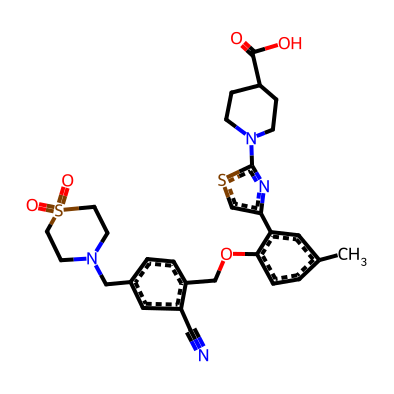 Cc1ccc(OCc2ccc(CN3CCS(=O)(=O)CC3)cc2C#N)c(-c2csc(N3CCC(C(=O)O)CC3)n2)c1